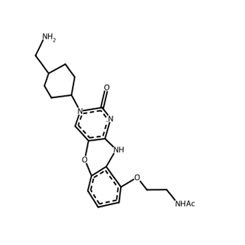 CC(=O)NCCOc1cccc2c1Nc1nc(=O)n(C3CCC(CN)CC3)cc1O2